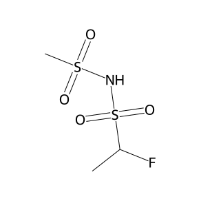 CC(F)S(=O)(=O)NS(C)(=O)=O